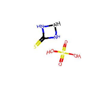 O=S(=O)(O)O.S=C1[NH][AlH][NH]1